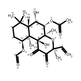 C=C[C@]1(C)O[C@]2(C)[C@@H](OC(C)=O)[C@@H](O)[C@H]3C(C)(C)CC[C@H](OC=O)[C@]3(C)[C@@]2(O)C(=O)C1=O